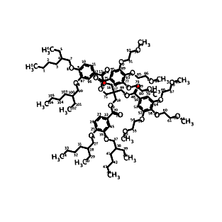 CCCCC(CC)COc1ccc(C(=O)OCC(COC(=O)c2ccc(OCC(CC)CCCC)c(OCC(CC)CCCC)c2)(COC(=O)c2cc(OCCOC)c(OCCOC)c(OCCOC)c2)COC(=O)c2cc(OCCOC)c(OCCOC)c(OCCOC)c2)cc1OCC(CC)CCCC